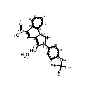 O.O=[N+]([O-])C1=CC2=C(O)N(c3ccc(OC(F)(F)F)cc3)[N]N2c2ccccc21